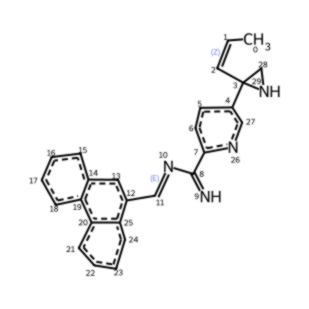 C/C=C\C1(c2ccc(C(=N)/N=C/c3cc4ccccc4c4ccccc34)nc2)CN1